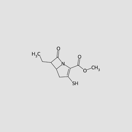 CCC1C(=O)N2C(C(=O)OC)=C(S)CC12